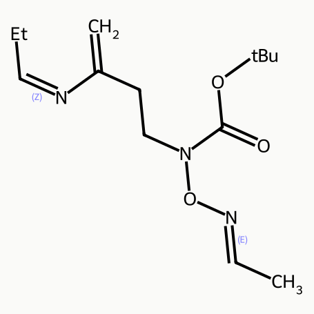 C=C(CCN(O/N=C/C)C(=O)OC(C)(C)C)/N=C\CC